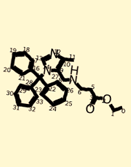 CCOC(=O)CCNCc1c(C)ncn1C(c1ccccc1)(c1ccccc1)c1ccccc1